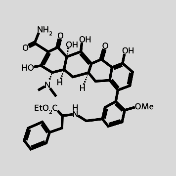 CCOC(=O)C(Cc1ccccc1)NCc1ccc(OC)c(-c2ccc(O)c3c2C[C@H]2C[C@H]4[C@H](N(C)C)C(O)=C(C(N)=O)C(=O)[C@@]4(O)C(O)=C2C3=O)c1